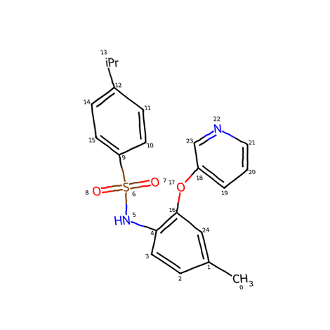 Cc1ccc(NS(=O)(=O)c2ccc(C(C)C)cc2)c(Oc2cccnc2)c1